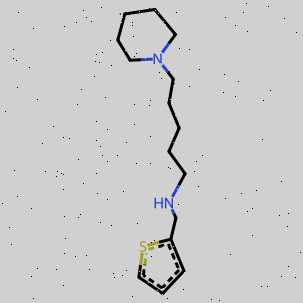 [CH]1CCN(CCCCCNCc2cccs2)CC1